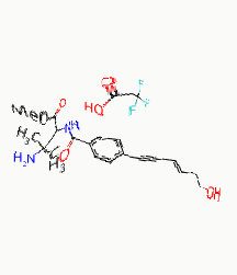 COC(=O)C(NC(=O)c1ccc(C#CC=CCCO)cc1)C(C)(C)N.O=C(O)C(F)(F)F